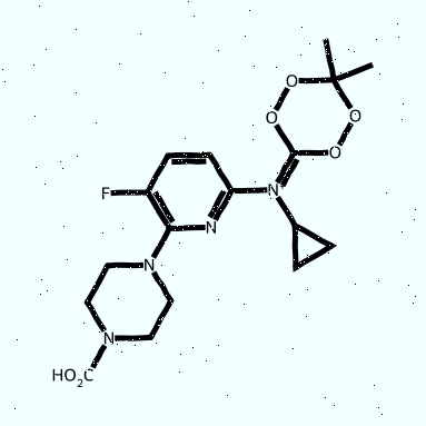 CC1(C)OOC(=[N+](c2ccc(F)c(N3CCN(C(=O)O)CC3)n2)C2CC2)OO1